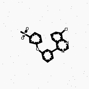 CS(=O)(=O)c1cccc(Oc2cccc(-c3ncnc4c(Cl)cccc34)c2)c1